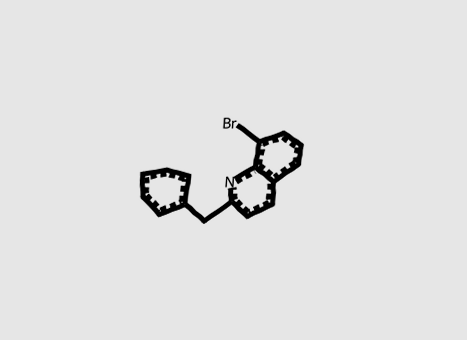 Brc1cccc2ccc(Cc3ccccc3)nc12